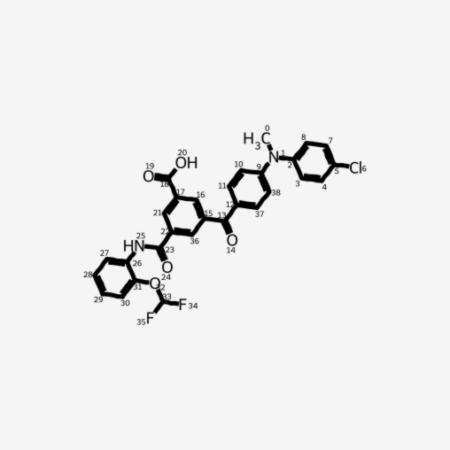 CN(c1ccc(Cl)cc1)c1ccc(C(=O)c2cc(C(=O)O)cc(C(=O)Nc3ccccc3OC(F)F)c2)cc1